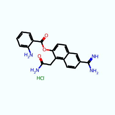 Cl.N=C(N)c1ccc2c(CC(N)=O)c(OC(=O)c3ccccc3N)ccc2c1